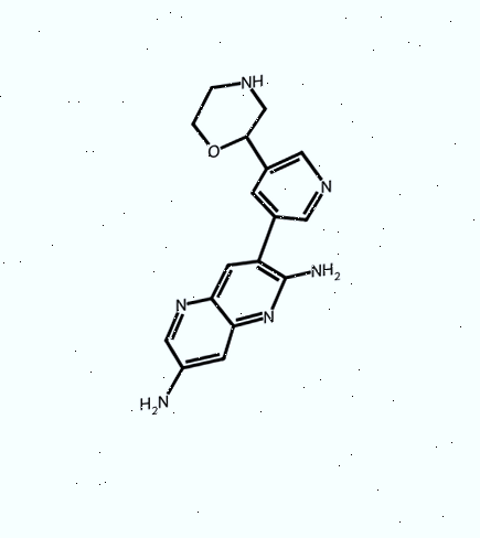 Nc1cnc2cc(-c3cncc(C4CNCCO4)c3)c(N)nc2c1